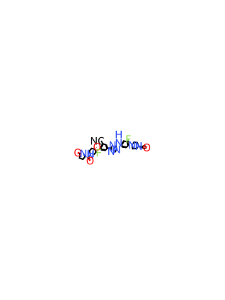 N#Cc1cc(-c2ncnc(Nc3ccc(N4CCN(C5COC5)CC4)c(F)c3)n2)ccc1O[C@H]1CCN(C(=O)[C@@H]2CCC(=O)N2)C[C@@H]1F